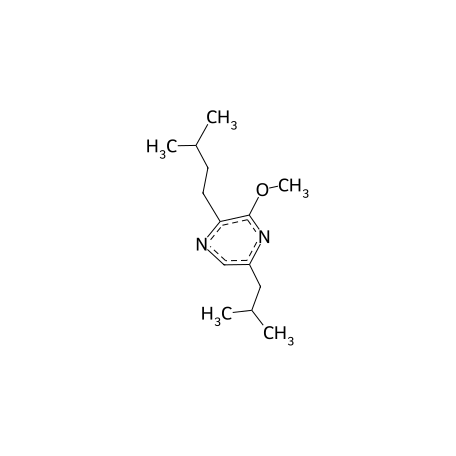 COc1nc(CC(C)C)cnc1CCC(C)C